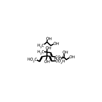 CC(O)(C=CC(=O)O)C(O)(C=CC(=O)O)C=CC(=O)O.CC(O)CO.CC(O)CO